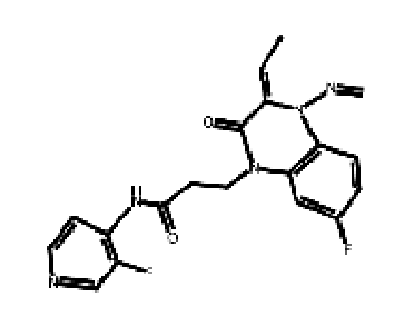 C=NN1/C(=C\C)C(=O)N(CCC(=O)Nc2ccncc2F)c2cc(F)ccc21